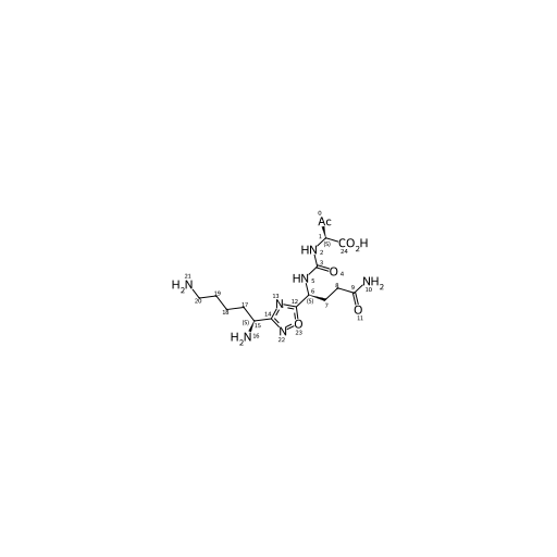 CC(=O)[C@H](NC(=O)N[C@@H](CCC(N)=O)c1nc([C@@H](N)CCCCN)no1)C(=O)O